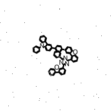 c1ccc(-c2nc(-c3cccc4c3oc3ccccc34)nc(-c3cccc4oc5ccc(-c6ccc(-c7ccc8c(c7)c7ccccc7n8-c7ccccc7)cc6)cc5c34)n2)cc1